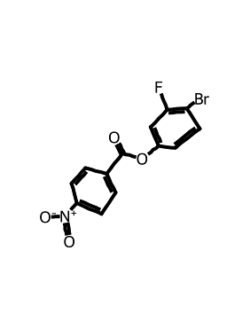 O=C(Oc1ccc(Br)c(F)c1)c1ccc([N+](=O)[O-])cc1